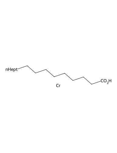 CCCCCCCCCCCCCCCC(=O)O.[Cr]